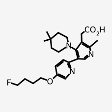 Cc1ncc(-c2ccc(OCCCCF)cn2)c(N2CCC(C)(C)CC2)c1CC(=O)O